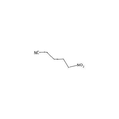 N#CCCCC[N+](=O)[O-]